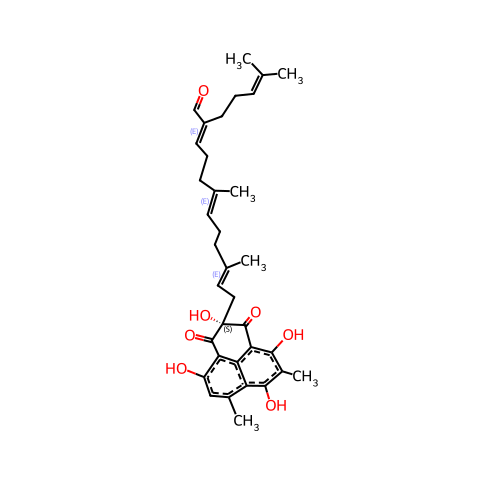 CC(C)=CCC/C(C=O)=C\CC/C(C)=C/CC/C(C)=C/C[C@]1(O)C(=O)c2c(O)cc(C)c3c(O)c(C)c(O)c(c23)C1=O